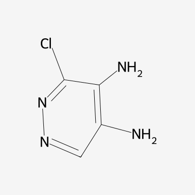 Nc1cnnc(Cl)c1N